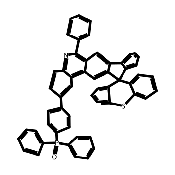 O=P(c1ccccc1)(c1ccccc1)c1ccc(-c2ccc3nc(-c4ccccc4)c4cc5c(cc4c3c2)C2(c3ccccc3Sc3ccccc32)c2ccccc2-5)cc1